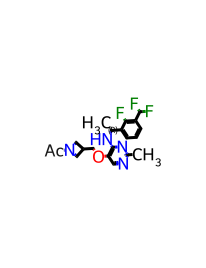 CC(=O)N1CC(COc2cnc(C)nc2N[C@H](C)c2cccc(C(F)F)c2F)C1